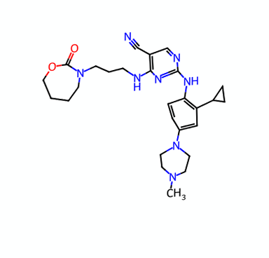 CN1CCN(c2ccc(Nc3ncc(C#N)c(NCCCN4CCCCOC4=O)n3)c(C3CC3)c2)CC1